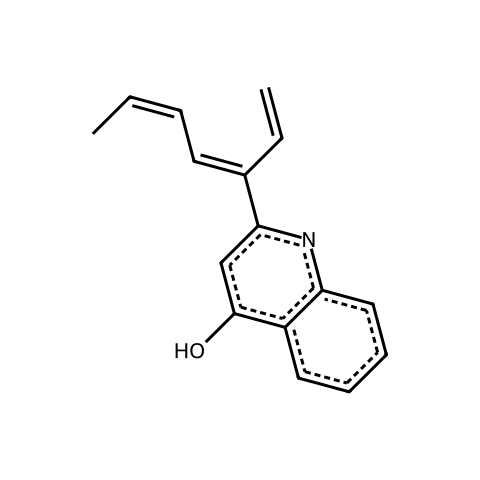 C=C/C(=C\C=C/C)c1cc(O)c2ccccc2n1